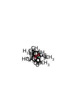 CSCC[C@H](N)C(=O)O[C@@]12C[C@@H](C)[C@@]3(O)[C@@H](C=C(CO)C[C@]4(O)C(=O)C(C)=C[C@@H]34)[C@H]1C2(C)C